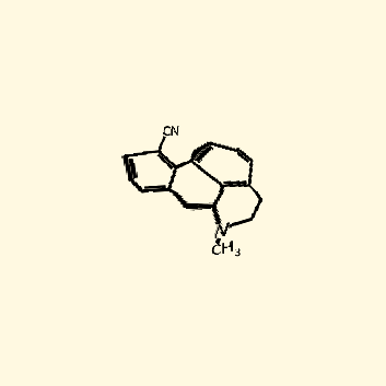 CN1CCc2cccc3c2C1Cc1cccc(C#N)c1-3